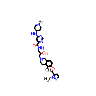 CC(=O)N1CCC(Nc2cc(C(=O)NCC(O)CN3CCc4c(ccc(OCc5ccnn5C)c4C)C3)ncn2)CC1